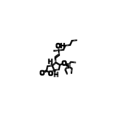 CCCCC[C@@](C)(O)/C=C/[C@H]1C(O[Si](CC)(CC)CC)C[C@@H]2OC(=O)C[C@@H]21